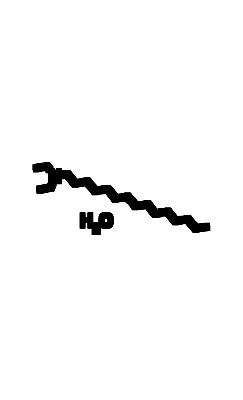 CCCCCCCCCCCCCCCN(CC)CC.O